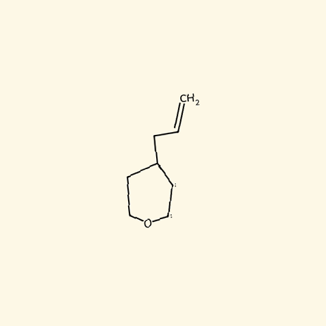 C=CCC1[C][C]OCC1